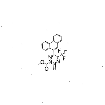 COC(=O)N1N=C(c2cc3ccccc3c3ccccc23)C(C(F)(F)F)=NN1